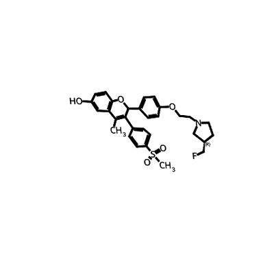 CC1=C(c2ccc(S(C)(=O)=O)cc2)C(c2ccc(OCCN3CC[C@@H](CF)C3)cc2)Oc2ccc(O)cc21